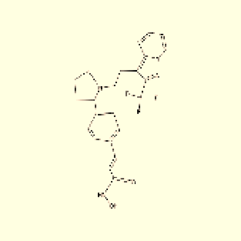 O=C(C=Cc1ccc(C2CCCN2CCc2c(C(F)(F)F)nn3ccccc23)cc1)NO